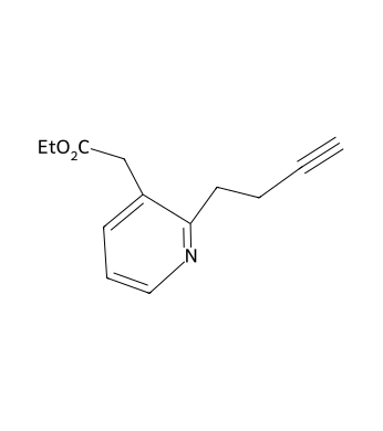 C#CCCc1ncccc1CC(=O)OCC